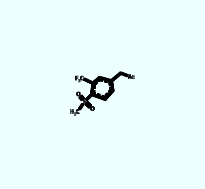 CC(=O)Cc1ccc(S(C)(=O)=O)c(C(F)(F)F)c1